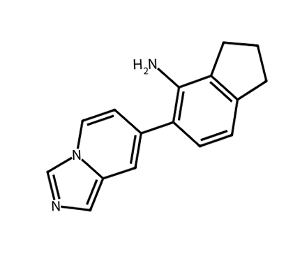 Nc1c(-c2ccn3cncc3c2)ccc2c1CCC2